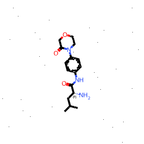 CC(C)C[C@@H](N)C(=O)Nc1ccc(N2CCOCC2=O)cc1